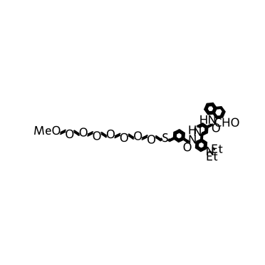 CCN(CC)c1ccc(NC(=O)c2cccc(CSCCOCCOCCOCCOCCOCCOCCOCCOC)c2)c(-c2cc(C(=O)N[C@@]3(C=O)C=CCc4ccccc43)ccn2)c1